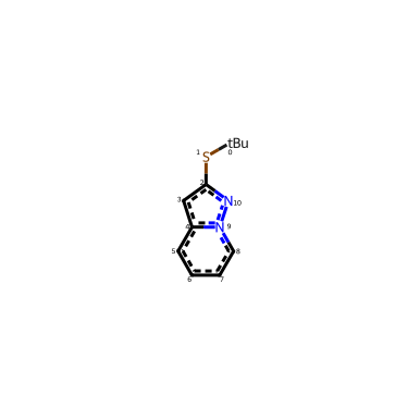 CC(C)(C)Sc1cc2ccccn2n1